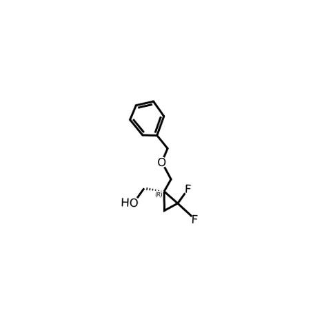 OC[C@@]1(COCc2ccccc2)CC1(F)F